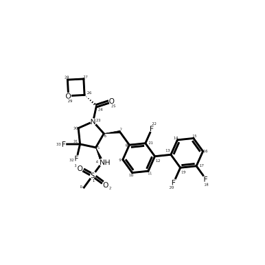 CS(=O)(=O)N[C@@H]1[C@H](Cc2cccc(-c3cccc(F)c3F)c2F)N(C(=O)[C@H]2CCO2)CC1(F)F